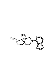 C[C@@H]1OCC2(CCN(c3nccc4ncnn34)CC2)[C@@H]1N